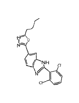 CCCCc1nnc(-c2ccc3nc(-c4c(Cl)cccc4Cl)[nH]c3c2)o1